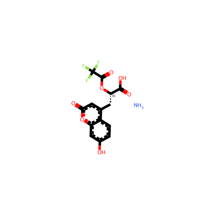 N.O=C(O)[C@H](Cc1cc(=O)oc2cc(O)ccc12)OC(=O)C(F)(F)F